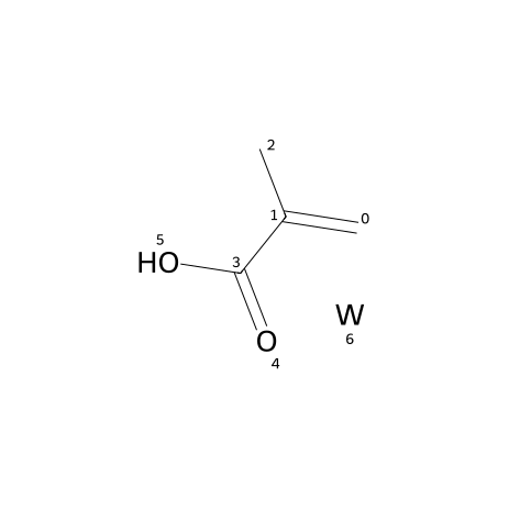 C=C(C)C(=O)O.[W]